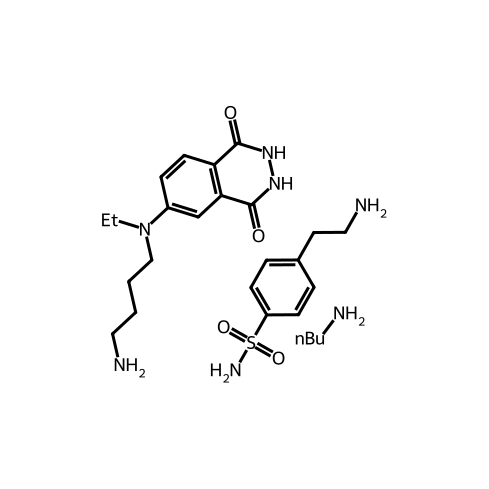 CCCCN.CCN(CCCCN)c1ccc2c(=O)[nH][nH]c(=O)c2c1.NCCc1ccc(S(N)(=O)=O)cc1